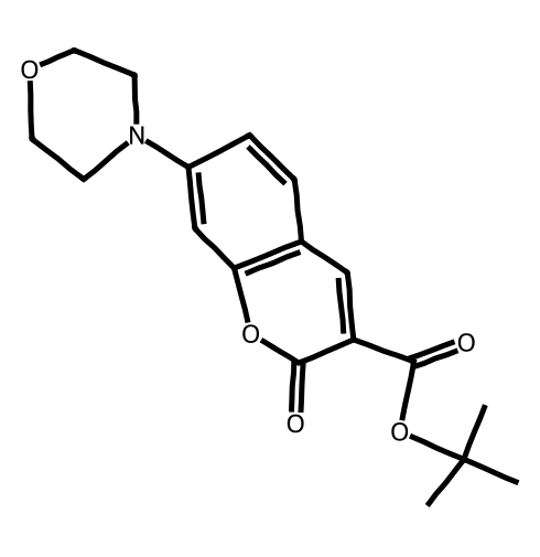 CC(C)(C)OC(=O)c1cc2ccc(N3CCOCC3)cc2oc1=O